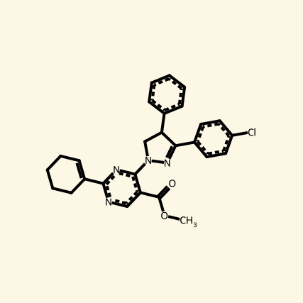 COC(=O)c1cnc(C2=CCCCC2)nc1N1CC(c2ccccc2)C(c2ccc(Cl)cc2)=N1